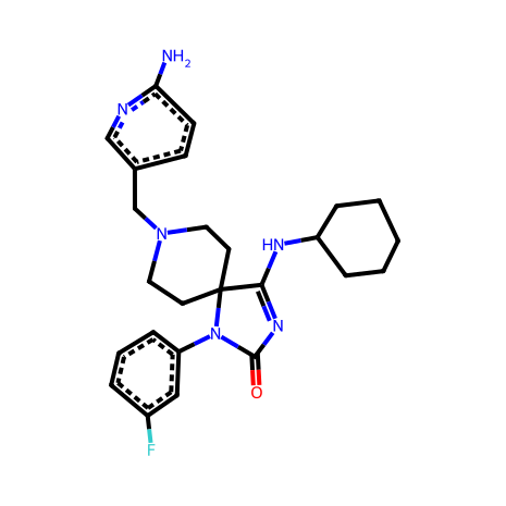 Nc1ccc(CN2CCC3(CC2)C(NC2CCCCC2)=NC(=O)N3c2cccc(F)c2)cn1